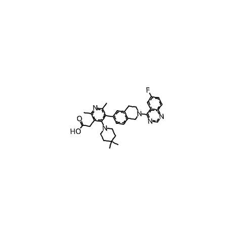 Cc1nc(C)c(-c2ccc3c(c2)CCN(c2ncnc4ccc(F)cc24)C3)c(N2CCC(C)(C)CC2)c1CC(=O)O